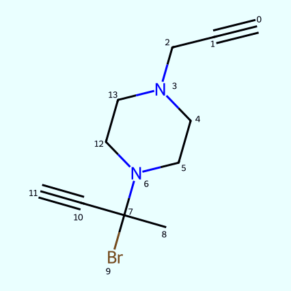 C#CCN1CCN(C(C)(Br)C#C)CC1